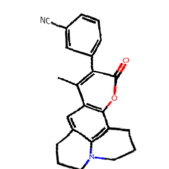 Cc1c(-c2cccc(C#N)c2)c(=O)oc2c3c4c(cc12)CCCN4CCC3